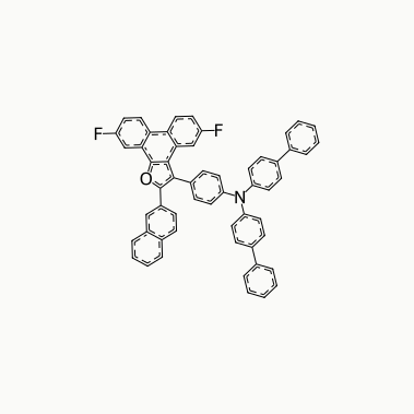 Fc1ccc2c3ccc(F)cc3c3c(-c4ccc(N(c5ccc(-c6ccccc6)cc5)c5ccc(-c6ccccc6)cc5)cc4)c(-c4ccc5ccccc5c4)oc3c2c1